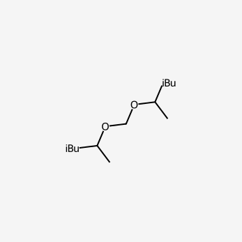 CCC(C)C(C)OCOC(C)C(C)CC